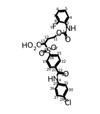 O=C(Nc1ccccc1F)OCCC(C(=O)O)S(=O)(=O)c1ccc(C(=O)Nc2ccc(Cl)cc2)cc1